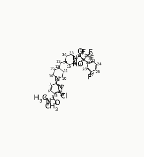 CN(C)C(=O)c1ccc(N2CCC(CC3CCN(C(=O)[C@](O)(c4cccc(F)c4)C(F)(F)F)CC3)CC2)nc1Cl